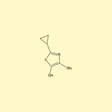 CC(C)(C)c1nc(C2CC2)sc1O